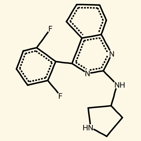 Fc1cccc(F)c1-c1nc(NC2CCNC2)nc2ccccc12